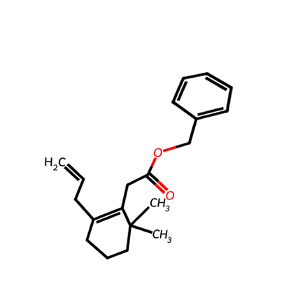 C=CCC1=C(CC(=O)OCc2ccccc2)C(C)(C)CCC1